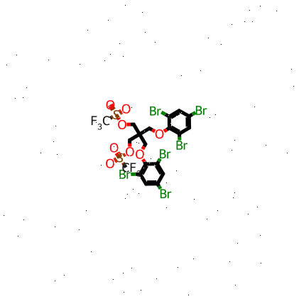 O=S(=O)(OCC(COc1c(Br)cc(Br)cc1Br)(COc1c(Br)cc(Br)cc1Br)COS(=O)(=O)C(F)(F)F)C(F)(F)F